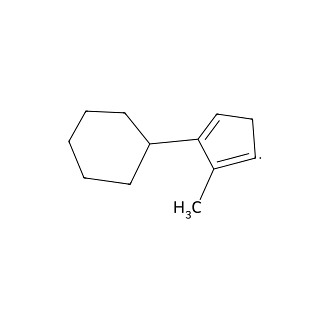 CC1=[C]CC=C1C1CCCCC1